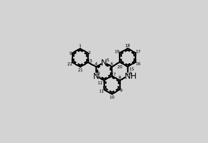 c1ccc(-c2nc3c4c(cccc4n2)Nc2ccccc2-3)cc1